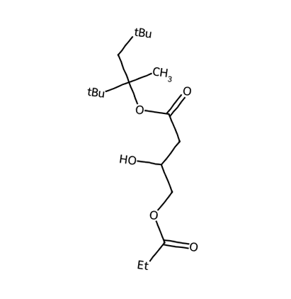 CCC(=O)OCC(O)CC(=O)OC(C)(CC(C)(C)C)C(C)(C)C